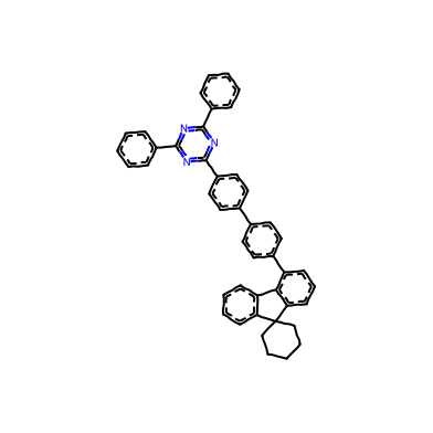 c1ccc(-c2nc(-c3ccccc3)nc(-c3ccc(-c4ccc(-c5cccc6c5-c5ccccc5C65CCCCC5)cc4)cc3)n2)cc1